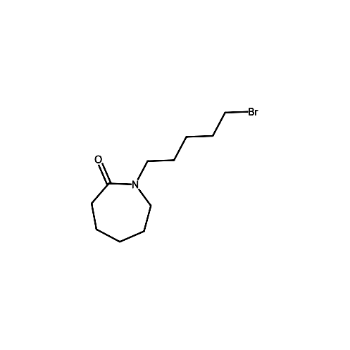 O=C1CCCCCN1CCCCCBr